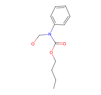 CCCCOC(=O)N(C[O])c1ccccc1